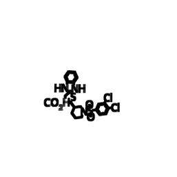 O=C(O)CC1(SCC2CCCN(S(=O)(=O)c3ccc(Cl)c(Cl)c3)C2)Nc2ccccc2N1